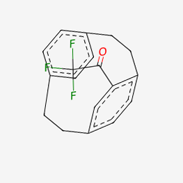 O=C(c1cc2ccc1CCc1ccc(cc1)CC2)C(F)(F)F